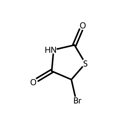 O=C1NC(=O)C(Br)S1